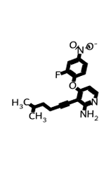 C[C](C)CCC#Cc1c(Oc2ccc([N+](=O)[O-])cc2F)ccnc1N